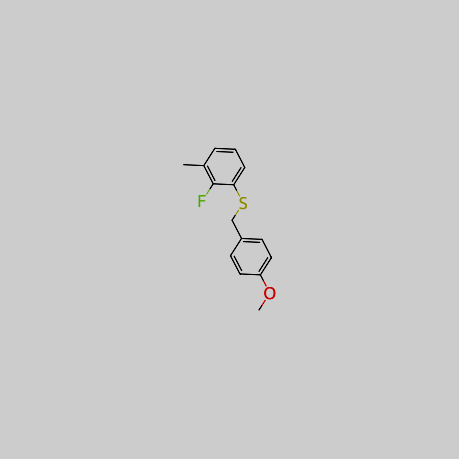 COc1ccc(CSc2cccc(C)c2F)cc1